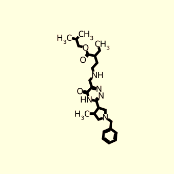 CCC(CCNCc1nnc(C2CN(Cc3ccccc3)CC2C)[nH]c1=O)C(=O)OCC(C)C